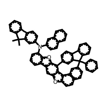 CC1(C)c2ccccc2-c2ccc(N(c3ccc4ccccc4c3)c3cccc4c3oc3c(-c5ccc6c(c5)C(c5ccccc5)(c5ccccc5)c5ccccc5-6)c5c(cc34)oc3ccccc35)cc21